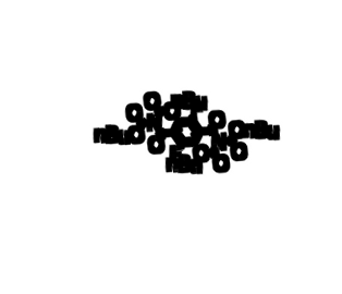 CCCCOC(=O)N(C(=O)OCCCC)C(=O)c1cc(F)c(C(=O)N(C(=O)OCCCC)C(=O)OCCCC)cc1F